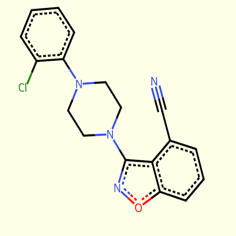 N#Cc1cccc2onc(N3CCN(c4ccccc4Cl)CC3)c12